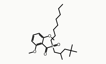 CCCCCCCCP(=O)(CC(C)CC(C)(C)C)C(=O)c1c(OC)cccc1OC